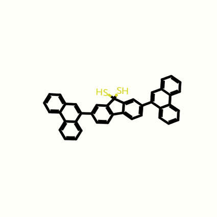 SC1(S)c2cc(-c3cc4ccccc4c4ccccc34)ccc2-c2ccc(-c3cc4ccccc4c4ccccc34)cc21